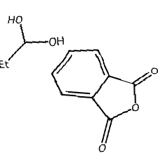 CCC(O)O.O=C1OC(=O)c2ccccc21